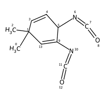 CC1(C)C=CC(N=C=O)C(N=C=O)=C1